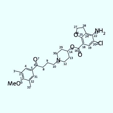 COc1c(C)cc(C(=O)CCCN2CCC(OC(=O)c3cc(Cl)c(N)c4c3OCC4)CC2)cc1C